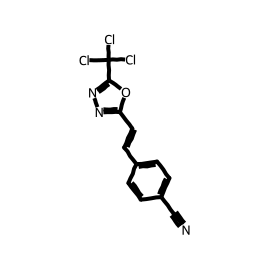 N#Cc1ccc(C=Cc2nnc(C(Cl)(Cl)Cl)o2)cc1